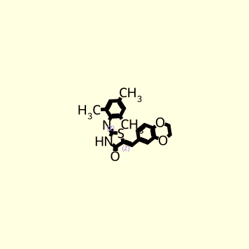 Cc1cc(C)c(/N=C2/NC(=O)/C(=C/c3ccc4c(c3)OCCO4)S2)c(C)c1